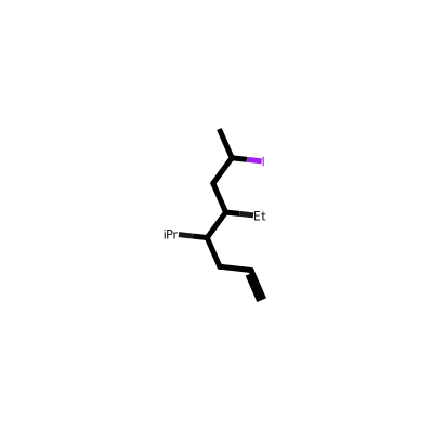 C=CCC(C(C)C)C(CC)CC(C)I